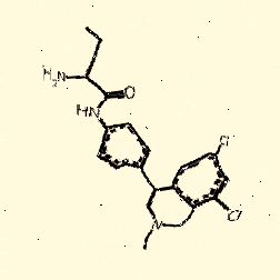 CCC(N)C(=O)Nc1ccc(C2CN(C)Cc3c(Cl)cc(Cl)cc32)cc1